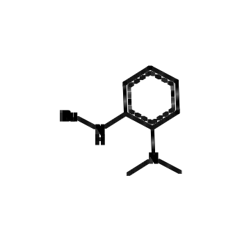 CCC(C)Nc1ccccc1N(C)C